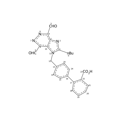 CCCCc1nc2c(C=O)nnc(C=O)c2n1Cc1ccc(-c2ccccc2C(=O)O)cc1